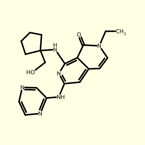 CCn1ccc2cc(Nc3cnccn3)nc(NC3(CO)CCCC3)c2c1=O